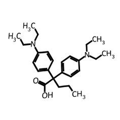 CCCC(C(=O)O)(c1ccc(N(CC)CC)cc1)c1ccc(N(CC)CC)cc1